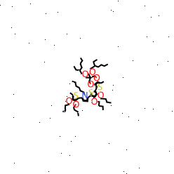 CCCCCCn1c(-c2sc(C)c(OCCCC)c2OCCCC)ccc1-c1sc(-c2sc(C)c3c2OCC(COCC(CC)CCCC)(COCC(CC)CCCC)CO3)c(OCCCC)c1OCCCC